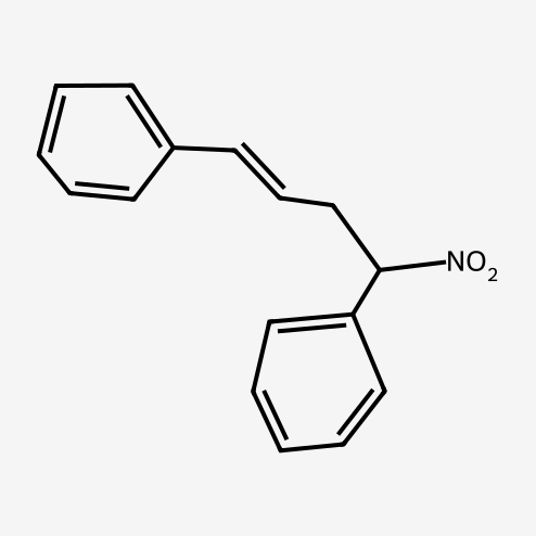 O=[N+]([O-])C(CC=Cc1ccccc1)c1ccccc1